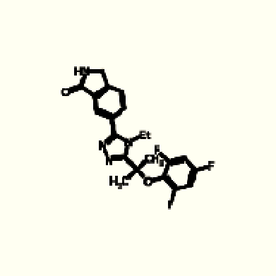 CCn1c(-c2ccc3c(c2)C(=O)NC3)nnc1C(C)(C)Oc1c(F)cc(F)cc1F